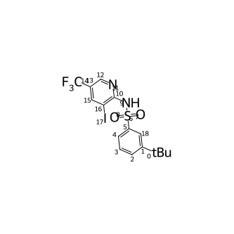 CC(C)(C)c1cccc(S(=O)(=O)Nc2ncc(C(F)(F)F)cc2I)c1